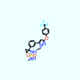 CCn1nc(Oc2ccc(C(F)(F)F)cc2)cc1-c1cccc(C2(NS(=O)(=O)NC)CC2)c1